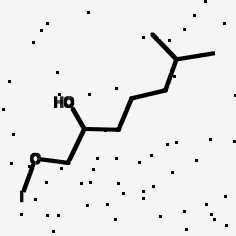 CC(C)CCCC(O)COI